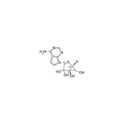 Nc1ncnc2c1ccn2[C@@H]1O[C@@H]2C(O)[C@]2(O)C1(O)O